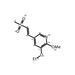 CCOc1cc(/C=C/S(C)(=O)=O)cnc1OC